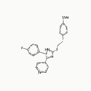 CSc1ccc(CCSc2nc(-c3ccncc3)c(-c3ccc(F)cc3)[nH]2)cc1